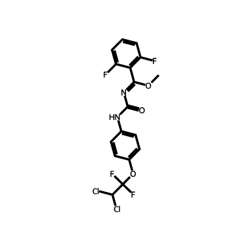 CO/C(=N\C(=O)Nc1ccc(OC(F)(F)C(Cl)Cl)cc1)c1c(F)cccc1F